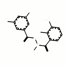 COc1cccc(C(=O)N(NC(=O)c2cc(C)cc(C)c2)C(C)(C)C)c1N